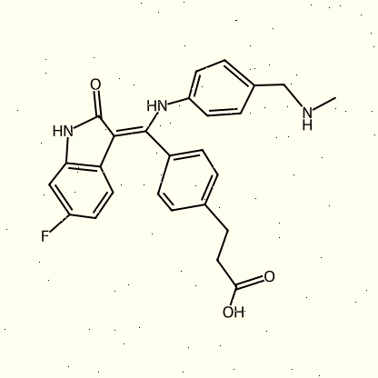 CNCc1ccc(N/C(=C2\C(=O)Nc3cc(F)ccc32)c2ccc(CCC(=O)O)cc2)cc1